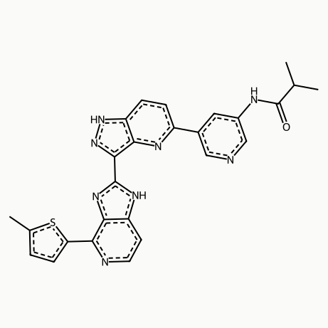 Cc1ccc(-c2nccc3[nH]c(-c4n[nH]c5ccc(-c6cncc(NC(=O)C(C)C)c6)nc45)nc23)s1